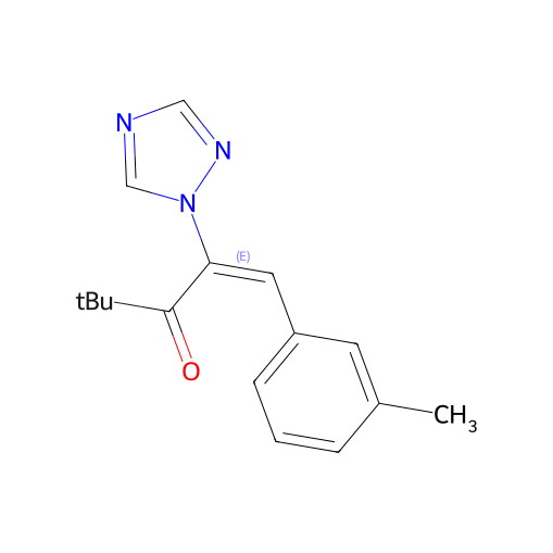 Cc1cccc(/C=C(\C(=O)C(C)(C)C)n2cncn2)c1